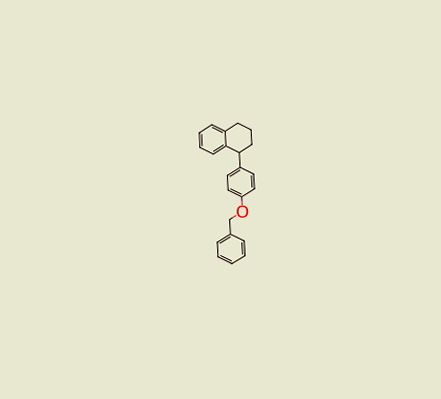 c1ccc(COc2ccc(C3CCCc4ccccc43)cc2)cc1